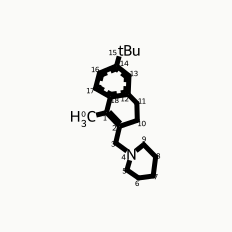 CC1=C(CN2CCCCC2)CCc2cc(C(C)(C)C)ccc21